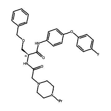 CC(C)N1CCN(CC(=O)N[C@@H](COCc2ccccc2)C(=O)Nc2ccc(Oc3ccc(F)cc3)cc2)CC1